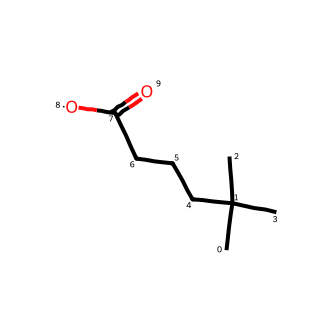 CC(C)(C)CCCC([O])=O